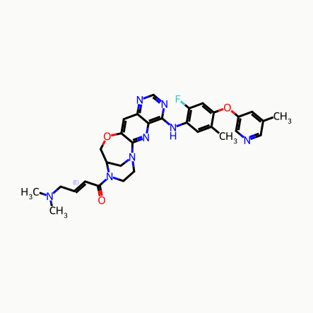 Cc1cncc(Oc2cc(F)c(Nc3ncnc4cc5c(nc34)N3CCN(C(=O)/C=C/CN(C)C)C(CO5)C3)cc2C)c1